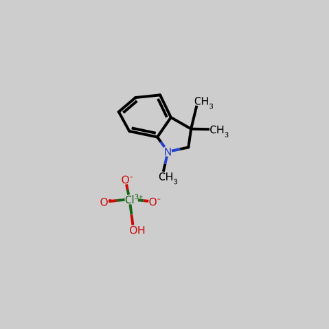 CN1CC(C)(C)c2ccccc21.[O-][Cl+3]([O-])([O-])O